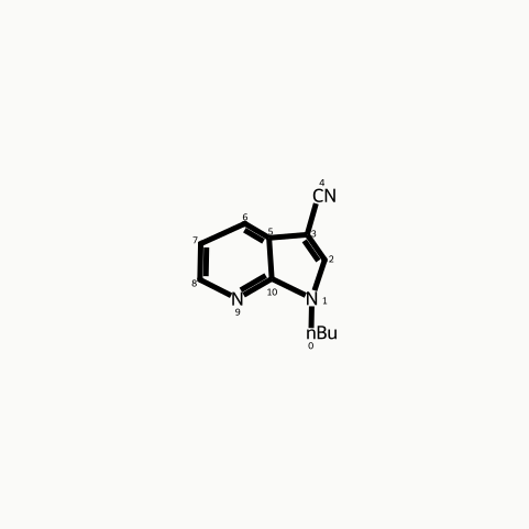 CCCCn1cc(C#N)c2cccnc21